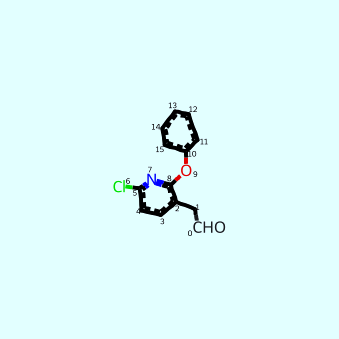 O=CCc1ccc(Cl)nc1Oc1ccccc1